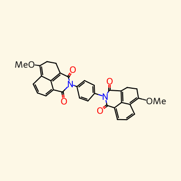 COC1=c2cccc3c2=C(CC1)C(=O)N(c1ccc(N2C(=O)C4=c5c(cccc5=C(OC)CC4)C2=O)cc1)C3=O